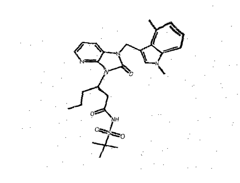 CCCC(CC(=O)NS(=O)(=O)C(C)(C)C)n1c(=O)n(Cc2cn(C)c3cccc(C)c23)c2cccnc21